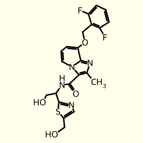 Cc1nc2c(OCc3c(F)cccc3F)cccn2c1C(=O)NC(CO)c1ncc(CO)s1